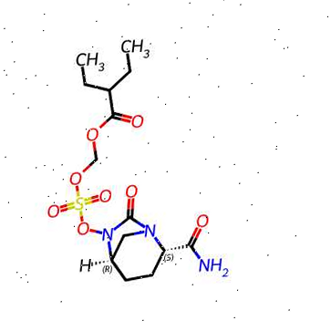 CCC(CC)C(=O)OCOS(=O)(=O)ON1C(=O)N2C[C@H]1CC[C@H]2C(N)=O